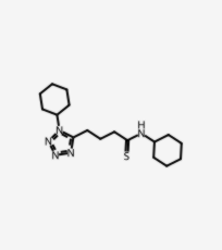 S=C(CCCc1nnnn1C1CCCCC1)NC1CCCCC1